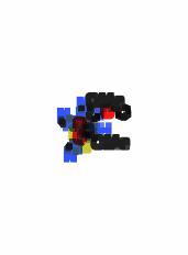 COC[C@H]1N[C@@H](c2cn(COCc3ccccc3)c3c(OC)ncnc23)[C@H](OC(=S)n2ccnc2)[C@@H]1OC(=S)n1ccnc1